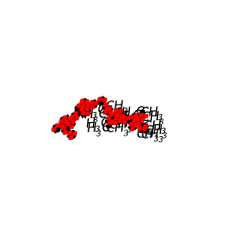 Cc1cc(N(c2cc(C)c(C(C)C)c(C)c2)c2cccc3c2c2cccc4c5cc6c(cc5n3c42)c2cccc3c4c(N(c5cc(C)c(C(C)C)c(C)c5)c5cc(C)c(C(C)Cc7cccc(-c8ccc(N(c9ccccc9)c9cccc%10c9c9cccc%11c%12cc%13c(cc%12n%10c%119)c9cccc%10c%11c(N(c%12ccccc%12)c%12ccc(-c%14ccccc%14)cc%12)cccc%11n%13c9%10)cc8)c7)c(C)c5)cccc4n6c23)cc(C)c1C(C)C